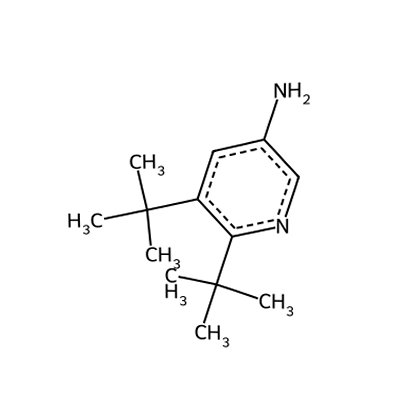 CC(C)(C)c1cc(N)cnc1C(C)(C)C